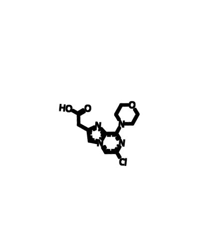 O=C(O)Cc1cn2cc(Cl)nc(N3CCOCC3)c2n1